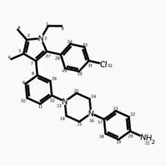 CCn1c(C)c(C)c(-c2cccc(N3CCN(c4ccc(N)cc4)CC3)c2)c1-c1ccc(Cl)cc1